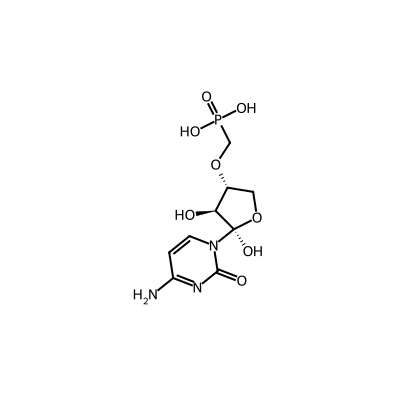 Nc1ccn([C@]2(O)OC[C@@H](OCP(=O)(O)O)[C@@H]2O)c(=O)n1